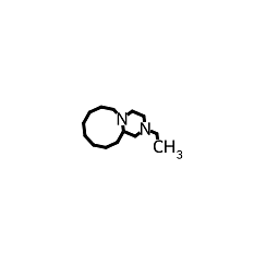 CCN1CCN2CCCCCCCCC2C1